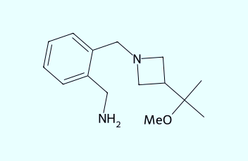 COC(C)(C)C1CN(Cc2ccccc2CN)C1